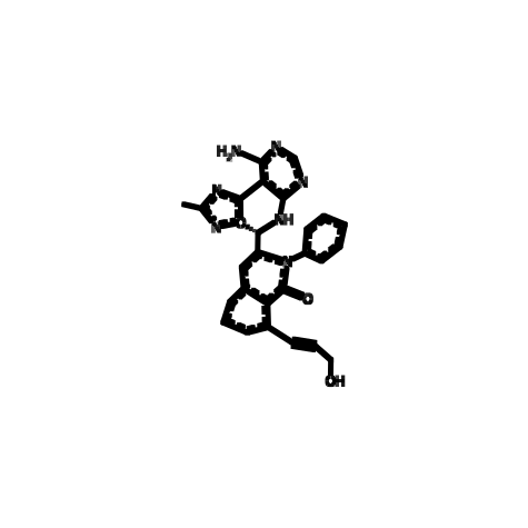 Cc1noc(-c2c(N)ncnc2N[C@@H](C)c2cc3cccc(C#CCO)c3c(=O)n2-c2ccccc2)n1